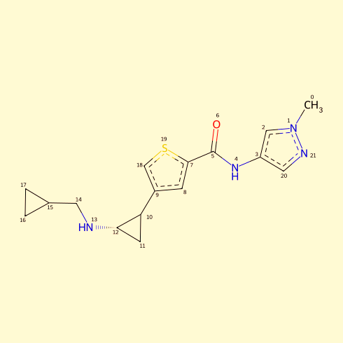 Cn1cc(NC(=O)c2cc(C3C[C@@H]3NCC3CC3)cs2)cn1